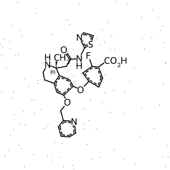 C[C@]1(CC(=O)Nc2nccs2)NCCc2cc(OCc3ccccn3)c(Oc3ccc(C(=O)O)c(F)c3)cc21